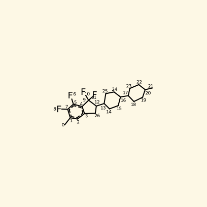 Cc1cc2c(c(F)c1F)C(F)(F)C(C1CCC(C3CCC(C)CC3)CC1)C2